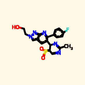 CC1=NC(c2cc3cn(CCO)nc3nc2-c2ccc(F)cc2)C(=S(=O)=O)C=N1